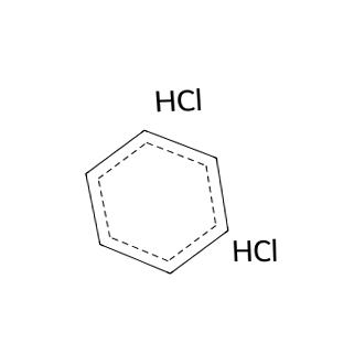 Cl.Cl.c1ccccc1